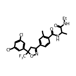 CCNC(=O)C(C)NC(=O)c1ccc(C2=NOC(c3cc(Cl)cc(Cl)c3)(C(F)(F)F)C2)cc1C